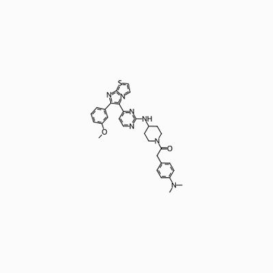 COc1cccc(-c2nc3sccn3c2-c2ccnc(NC3CCN(C(=O)Cc4ccc(N(C)C)cc4)CC3)n2)c1